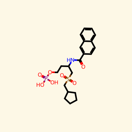 O=C(NC(CCOP(=O)(O)O)CS(=O)(=O)CC1CCCC1)c1ccc2ccccc2c1